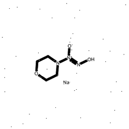 [Na].[O-][N+](=NO)N1CCOCC1